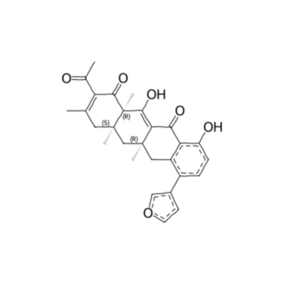 CC(=O)C1=C(C)C[C@]2(C)C[C@]3(C)Cc4c(-c5ccoc5)ccc(O)c4C(=O)C3=C(O)[C@]2(C)C1=O